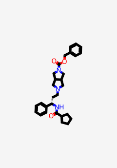 O=C(N[C@@H](CCN1CC2CN(C(=O)OCc3ccccc3)CC2C1)c1ccccc1)C1CCCC1